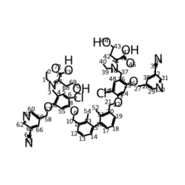 CCN(Cc1cc(Cl)c(OCc2cccc(-c3cccc(COc4cc(OCc5cncc(C#N)c5)c(CN(CC)C(CCO)C(=O)O)cc4Cl)c3C)c2C)cc1OCc1cncc(C#N)c1)C(CCO)C(=O)O